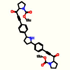 CC(C)(C)OC(=O)N1CCCC1C(=O)C#Cc1ccc(C2CCC(c3ccc(C#CC(=O)C4CCCN4C(=O)OC(C)(C)C)cc3)N2)cc1